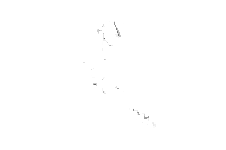 CNCC=CC(=O)N1CCC(Nc2cc(-c3ccnc(NC)c3)c[nH]c2=O)CC1